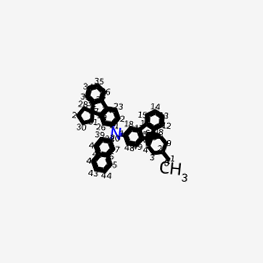 CCC1CC2CCCC(C1)C21c2ccccc2-c2cc(N(c3ccc4c(c3)C3(CCCC3)c3ccccc3-4)c3ccc4ccccc4c3)ccc21